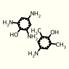 Cc1cc(N)cc(C)c1O.Nc1cc(N)c(O)c(N)c1